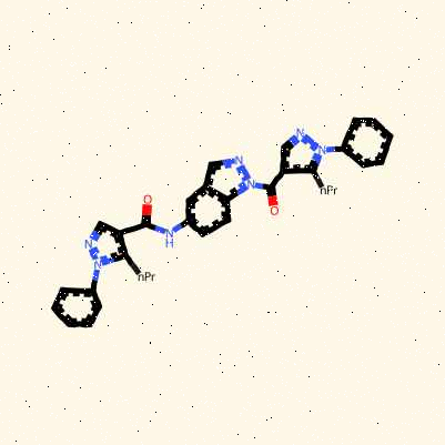 CCCc1c(C(=O)Nc2ccc3c(cnn3C(=O)c3cnn(-c4ccccc4)c3CCC)c2)cnn1-c1ccccc1